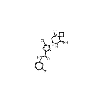 N=C1N[C@H](c2sc(C(=O)Nc3cccc(F)n3)cc2Cl)C[S+]([O-])C12CCC2